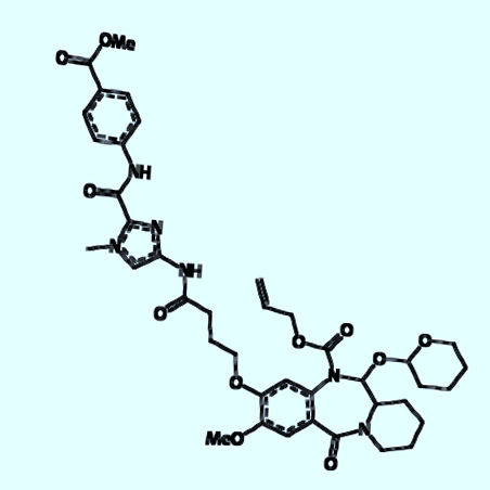 C=CCOC(=O)N1c2cc(OCCCC(=O)Nc3cn(C)c(C(=O)Nc4ccc(C(=O)OC)cc4)n3)c(OC)cc2C(=O)N2CCCCC2C1OC1CCCCO1